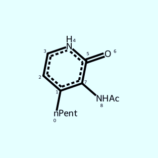 CCCCCc1cc[nH]c(=O)c1NC(C)=O